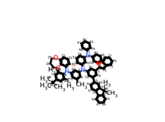 Cc1cc2c3c(c1)N(c1c(C)cc(C(C)(C)C)cc1C)c1c(ccc4c1OCCCO4)B3c1ccc(N(c3ccccc3)c3ccccc3)cc1N2c1cc(-c2ccc3c(c2)C(C)(C)c2ccccc2-3)cc(-c2cc3ccccc3o2)c1